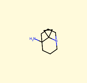 NC12CCCN(CCC1)C21CC1